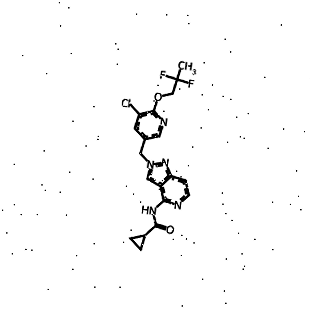 CC(F)(F)COc1ncc(Cn2cc3c(NC(=O)C4CC4)nccc3n2)cc1Cl